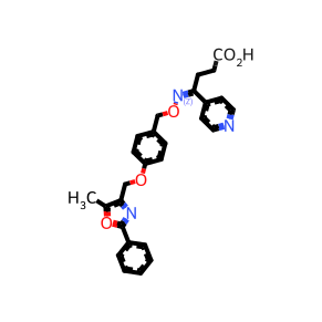 Cc1oc(-c2ccccc2)nc1COc1ccc(CO/N=C(/CCC(=O)O)c2ccncc2)cc1